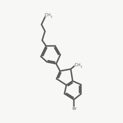 CCCCc1ccc(C2=Cc3cc(Br)ccc3C2C)cc1